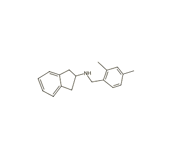 Cc1ccc(CNC2Cc3ccccc3C2)c(C)c1